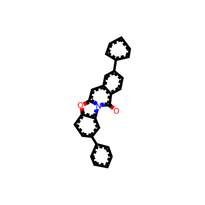 O=c1c2ccc(-c3ccccc3)cc2cc2oc3ccc(-c4ccccc4)cc3n12